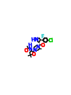 CC(=O)NC(CC(C)(C)C)C(=O)N1CCN(C(=O)[C@@H]2CNC[C@H]2c2ccc(Cl)cc2F)[C@@H](C)C1